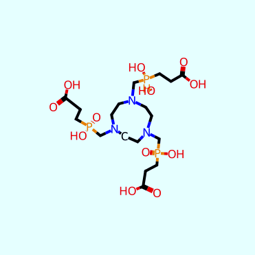 O=C(O)CCP(=O)(O)CN1CCN(CP(=O)(O)CCC(=O)O)CCN(C[PH](O)(O)CCC(=O)O)CC1